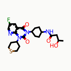 CC(O)CC(=O)NC1CCC(n2c(=O)c3cc(F)cnc3n(C3CCSCC3)c2=O)CC1